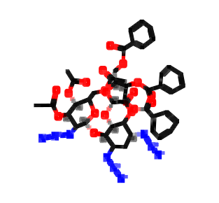 CC(=O)OCC1O[C@H](O[C@@H]2C(N=[N+]=[N-])C[C@@H](N=[N+]=[N-])C(OC(C)=O)[C@H]2O[C@@H]2O[C@H](COC(=O)c3ccccc3)[C@@H](OC(=O)c3ccccc3)C2OC(=O)c2ccccc2)C(N=[N+]=[N-])[C@@H](OC(C)=O)[C@@H]1OC(C)=O